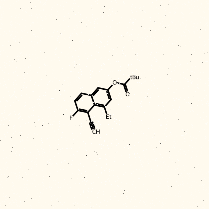 C#Cc1c(F)ccc2cc(OC(=O)C(C)(C)C)cc(CC)c12